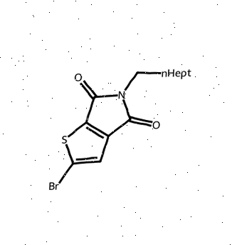 CCCCCCCCN1C(=O)c2cc(Br)sc2C1=O